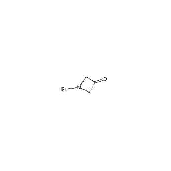 CCN1CC(=O)C1